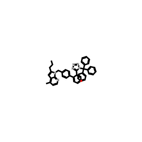 CCCc1cc2c(C)ccnc2n1Cc1ccc(-c2ccccc2-c2nnnn2C(c2ccccc2)(c2ccccc2)c2ccccc2)cc1